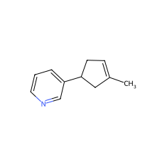 CC1=CCC(c2cccnc2)C1